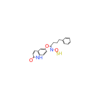 O=c1ccc2cc(OC(CCCc3ccccc3)=NOS)ccc2[nH]1